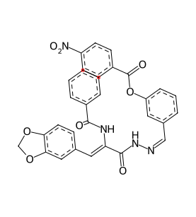 O=C(N/N=C\c1cccc(OC(=O)c2ccc([N+](=O)[O-])cc2)c1)/C(=C/c1ccc2c(c1)OCO2)NC(=O)c1ccccc1